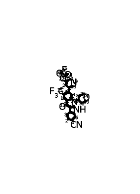 N#Cc1ccc2c(c1)[nH]c1c2c(=O)c2cc(C(F)(F)F)c(-c3cncc(OS(=O)(=O)F)c3)cc2n1C1CCOCC1